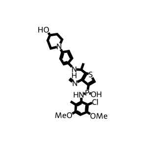 C=Nc1c(P(O)Nc2c(C)c(OC)cc(OC)c2Cl)csc1C(C)Nc1ccc(N2CCC(O)CC2)cc1